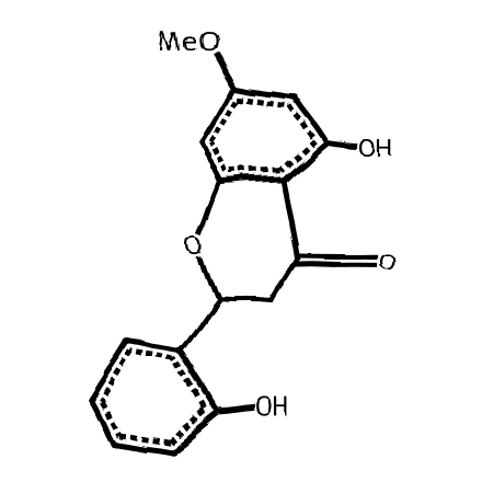 COc1cc(O)c2c(c1)OC(c1ccccc1O)CC2=O